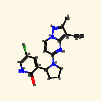 CCc1nn2ccc(N3CCCC3c3cc(F)c[nH]c3=O)nc2c1C(=O)O